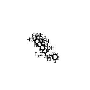 CN(Cc1cc(O)c2c(c1C(F)(F)F)CC1C[C@H]3CC(O)=C(C(N)=O)C(=O)[C@@]3(O)C(O)=C1C2=O)CC1CCCCCC1